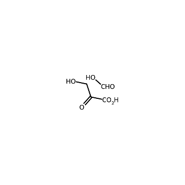 O=C(O)C(=O)CO.O=CO